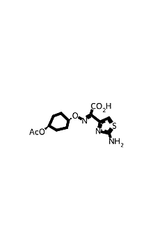 CC(=O)O[C@H]1CC[C@H](O/N=C(\C(=O)O)c2csc(N)n2)CC1